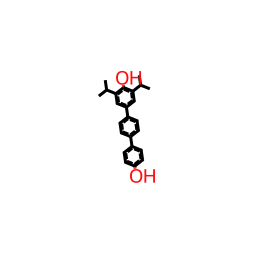 CC(C)c1cc(-c2ccc(-c3ccc(O)cc3)cc2)cc(C(C)C)c1O